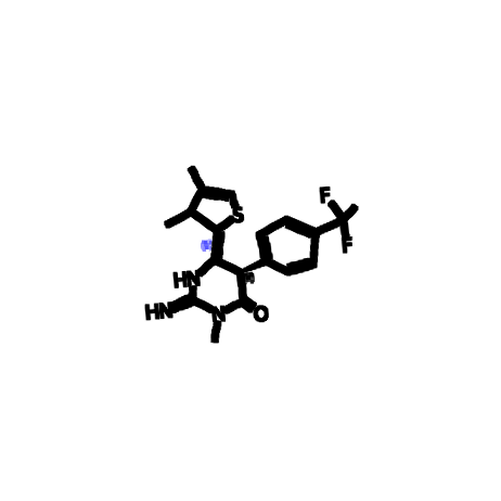 CC1=CS/C(=C2/NC(=N)N(C)C(=O)[C@@H]2c2ccc(C(C)(F)F)cc2)C1C